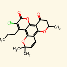 CCCc1c(Cl)c(=O)oc2c3c(c4c(c12)OC(C)(C)C=C4)OC(C)CC3=O